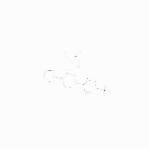 CC(C)(C)[Si](C)(C)OC1CN(c2ncc(C(F)(F)F)cn2)CCC1N1CC[C@H](O)C1O